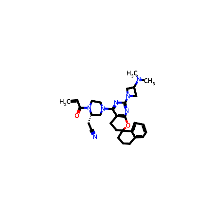 C=CC(=O)N1CCN(c2nc(N3CC(N(C)C)C3)nc3c2CCC2(CCCc4ccccc42)O3)C[C@@H]1CC#N